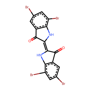 O=C1/C(=C2\Nc3c(Br)cc(Br)cc3C2=O)Nc2c(Br)cc(Br)cc21